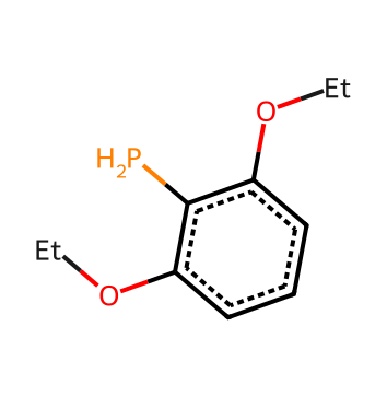 CCOc1cccc(OCC)c1P